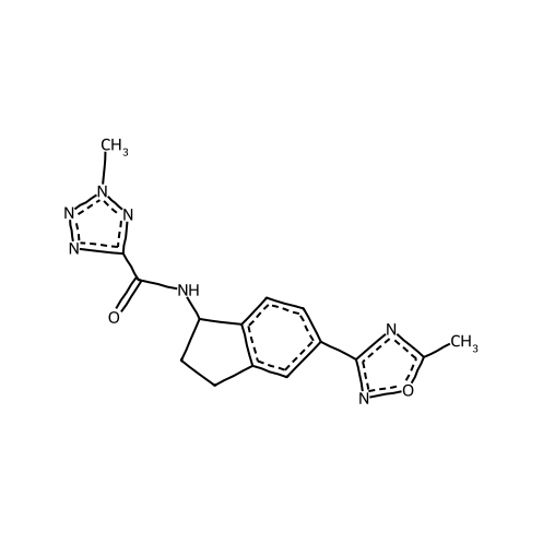 Cc1nc(-c2ccc3c(c2)CCC3NC(=O)c2nnn(C)n2)no1